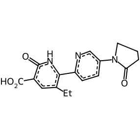 CCc1cc(C(=O)O)c(=O)[nH]c1-c1ccc(N2CCCC2=O)cn1